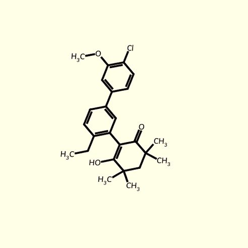 CCc1ccc(-c2ccc(Cl)c(OC)c2)cc1C1=C(O)C(C)(C)CC(C)(C)C1=O